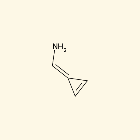 NC=C1C=C1